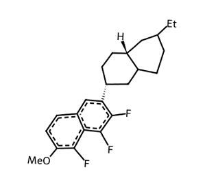 CCC1CCC2C[C@H](c3cc4ccc(OC)c(F)c4c(F)c3F)CC[C@@H]2C1